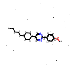 CCCCCC1CCC(c2cnc(-c3ccc(OC)cc3)nc2)CC1